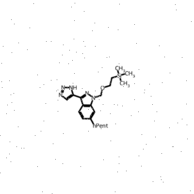 CCCCCc1ccc2c(-c3cnn[nH]3)nn(COCC[Si](C)(C)C)c2c1